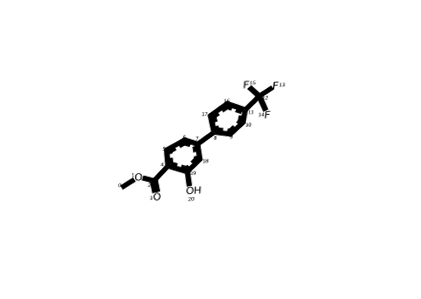 COC(=O)c1ccc(-c2ccc(C(F)(F)F)cc2)cc1O